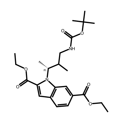 CCOC(=O)c1ccc2cc(C(=O)OCC)n([C@H](C)C(C)CNC(=O)OC(C)(C)C)c2c1